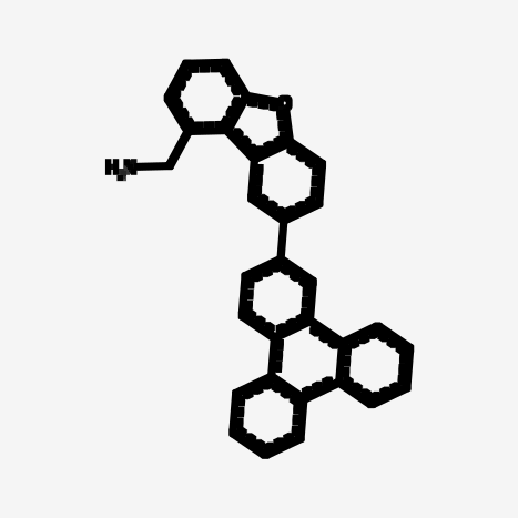 NCc1cccc2oc3ccc(-c4ccc5c6ccccc6c6ccccc6c5c4)cc3c12